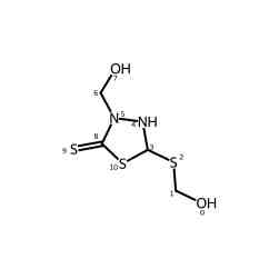 OCSC1NN(CO)C(=S)S1